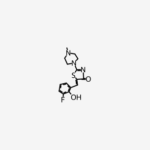 CN1CCN(C2=NC(=O)/C(=C/c3cccc(F)c3O)S2)CC1